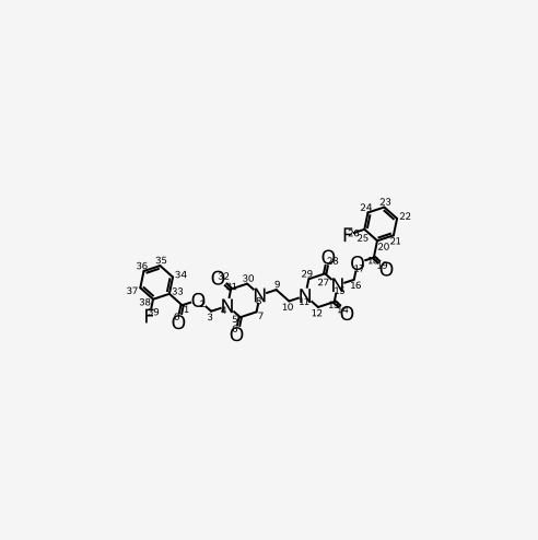 O=C(OCN1C(=O)CN(CCN2CC(=O)N(COC(=O)c3ccccc3F)C(=O)C2)CC1=O)c1ccccc1F